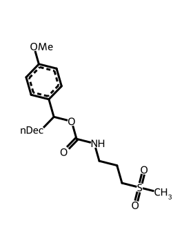 CCCCCCCCCCC(OC(=O)NCCCS(C)(=O)=O)c1ccc(OC)cc1